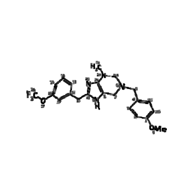 COc1ccc(CN2Cc3[nH]c(Cc4cccc(OC(F)(F)F)c4)nc3N(C)C2)cc1